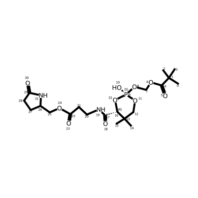 CC(C)(C)C(=O)OCO[P@@]1(O)OCC(C)(C)[C@H](C(=O)NCCC(=O)OCC2CCC(=O)N2)O1